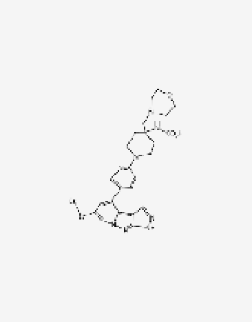 CCOc1cc(-c2ccc(N3CCC(CN4CCOCC4)(NC(=O)O)CC3)nc2)c2c3cn[nH]c3nn2c1